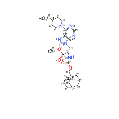 CC(C)(C)OC(=O)[C@H](Cn1cnc2c(N3CCC(C(=O)O)CC3)ncnc21)NC(=O)OCC12CC3CC(CC(C3)C1)C2